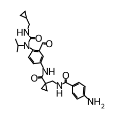 CC(C)N(C(=O)NCC1CC1)c1ccc(NC(=O)C2(CNC(=O)c3ccc(N)cc3)CC2)cc1C=O